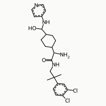 CC(C)(CNC(=O)C(N)C1CCC(C(O)Nc2ccncc2)CC1)c1ccc(Cl)c(Cl)c1